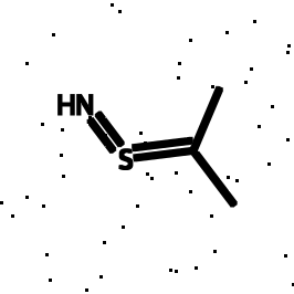 CC(C)=S=N